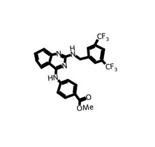 COC(=O)c1ccc(Nc2nc(NCc3cc(C(F)(F)F)cc(C(F)(F)F)c3)nc3ccccc23)cc1